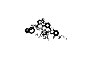 COc1ccc(Cl)c(CN(Cc2cccc(CN3C(C(=O)NC45CCCC6CC(CC6C4)C5)CCS3(=O)=O)c2)[C@H](CN(C)C)CC(C)(C)C)c1F